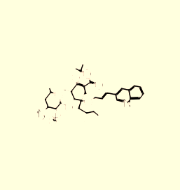 CC[C@H](C)C[C@@](C)(OC/C=C/c1cnc2ccccc2c1)[C@H](O[C@@H]1OC(C)CC(N(C)C)[C@H]1P=O)[C@@H](C)C1=C(C)C(=O)OC(C)(C)O1